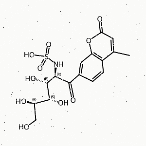 Cc1cc(=O)oc2cc(C(=O)[C@H](NS(=O)(=O)O)[C@@H](O)[C@H](O)[C@H](O)CO)ccc12